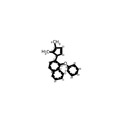 CC1=C(C)C(c2ccc3ccccc3c2Oc2ccccc2)C=C1